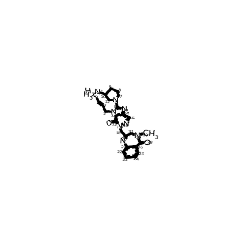 CC#CCn1c(N2CCCC(N)C2)nc2cnn(CC3=Nc4ccccc4C(=O)N(C)C3)c(=O)c21